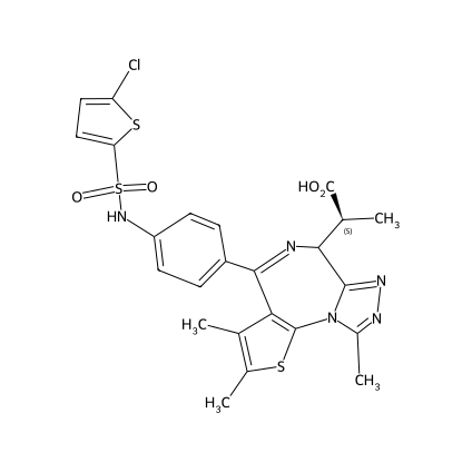 Cc1sc2c(c1C)C(c1ccc(NS(=O)(=O)c3ccc(Cl)s3)cc1)=NC([C@H](C)C(=O)O)c1nnc(C)n1-2